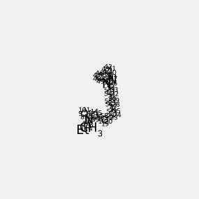 C/C=C(\C=C/CC)n1c2ccccc2c2ccc(-c3cccc(-c4cccc(-c5ccc(-c6ccc(-c7cnc8c9ccccc9c9ccccc9c8n7)cc6)cc5)c4)c3)cc21